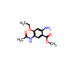 CCOc1cc(N)c(C(=O)OC)cc1NC(C)=O